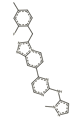 Cc1ccc(Cc2nnc3cc(-c4ccnc(Nc5ccnn5C)n4)ccn23)c(F)c1